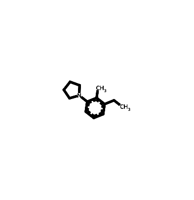 CCc1cccc(N2CCCC2)c1C